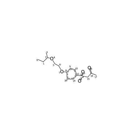 CCC(C)OCCOc1ccc(S(=O)(=O)CC(C)=O)cc1